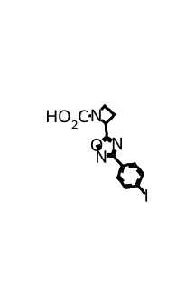 O=C(O)N1CCC1c1nc(-c2ccc(I)cc2)no1